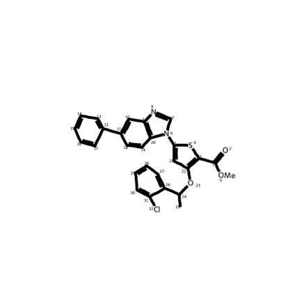 COC(=O)c1sc(-n2cnc3cc(-c4ccccc4)ccc32)cc1OC(C)c1ccccc1Cl